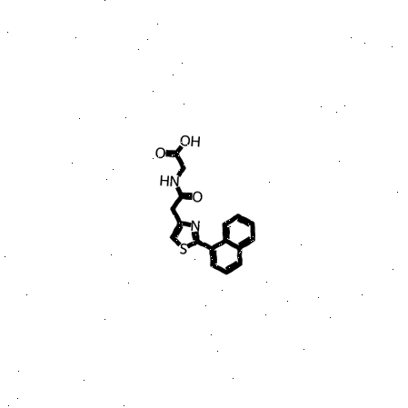 O=C(O)CNC(=O)Cc1csc(-c2cccc3ccccc23)n1